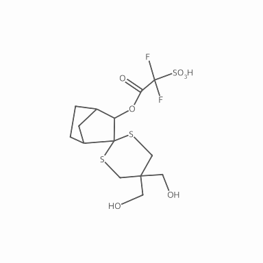 O=C(OC1C2CCC(C2)C12SCC(CO)(CO)CS2)C(F)(F)S(=O)(=O)O